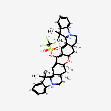 CC1(C)C2=C3C=C4C(OS(=O)(=O)C(F)(F)F)=C5C=C6C7=[N+](CC[C@H]6CC5O[C@H]4C[C@H]3CCN2c2ccccc21)c1ccccc1C7(C)C